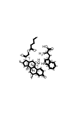 CCCCC(=O)OCC(=O)[C@H]1[C@H](C)C[C@H]2[C@@H]3C[C@H](F)C4=CC(=O)C=C[C@]4(C)[C@@]3(F)[C@@H](O)C[C@@]21C.NC(Cc1c[nH]c2ccccc12)C(=O)O